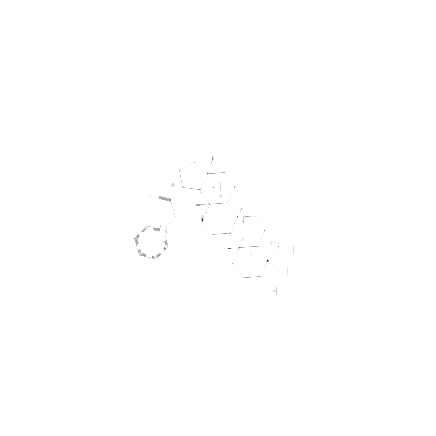 C=C(C[n+]1ccccc1)[C@@H]1CC[C@]2(CO)CC[C@]3(C)[C@H](CCC4[C@@]5(C)CCC(O)C(C)(C)[C@@H]5CC[C@]43C)[C@@H]12